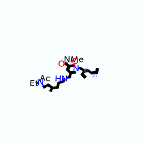 C=C/C(=C\C=C/C)Cn1cc(CNCCCC(C)CCN(CC)C(C)=O)cc(C(=O)NC)c1=O